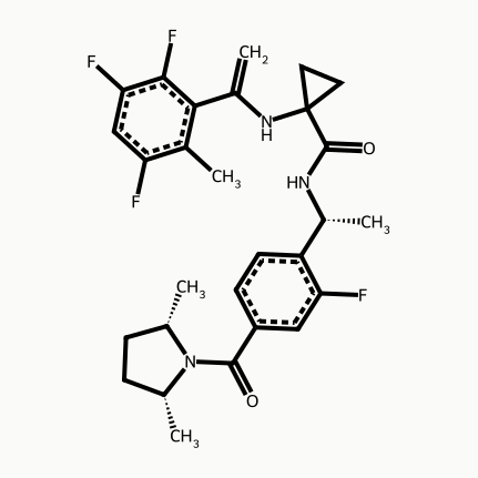 C=C(NC1(C(=O)N[C@H](C)c2ccc(C(=O)N3[C@H](C)CC[C@@H]3C)cc2F)CC1)c1c(C)c(F)cc(F)c1F